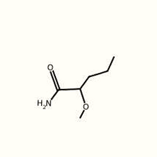 CCCC(OC)C(N)=O